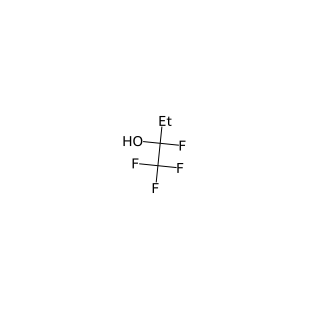 CCC(O)(F)C(F)(F)F